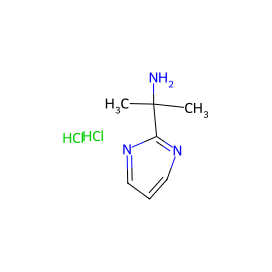 CC(C)(N)c1ncccn1.Cl.Cl